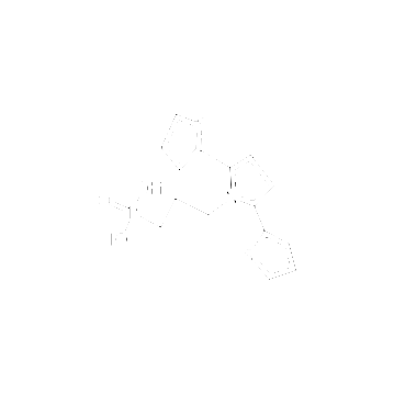 O=P(O)(O)CCCn1c(-c2cccs2)ccc1-c1cccs1